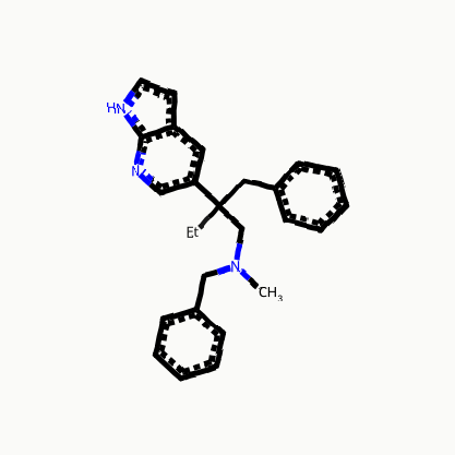 CCC(Cc1ccccc1)(CN(C)Cc1ccccc1)c1cnc2[nH]ccc2c1